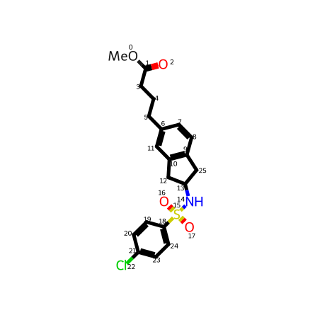 COC(=O)CCCc1ccc2c(c1)CC(NS(=O)(=O)c1ccc(Cl)cc1)C2